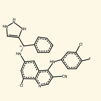 N#Cc1cnc2c(Cl)cc(N[C@H](C3=CNNN3)c3ccccc3)cc2c1Nc1ccc(F)c(Cl)c1